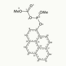 COC(=O)OP(OC)Oc1ccc2ccc3cccc4ccc1c2c34